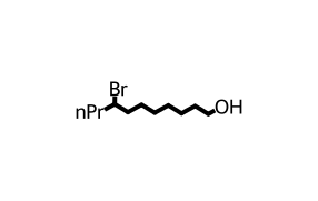 CCCC(Br)CCCCCCCO